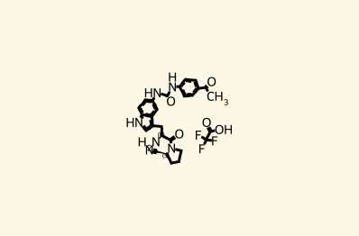 CC(=O)c1ccc(NC(=O)Nc2ccc3[nH]cc(C[C@@H](N)C(=O)N4CCC[C@H]4C#N)c3c2)cc1.O=C(O)C(F)(F)F